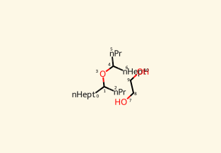 CCCCCCCC(CCC)OC(CCC)CCCCCCC.OCCO